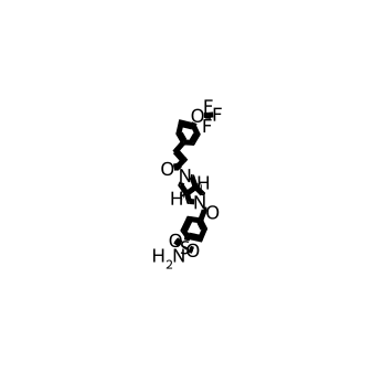 NS(=O)(=O)c1ccc(C(=O)N2C[C@H]3CN(C(=O)C=Cc4ccc(OC(F)(F)F)cc4)C[C@@H]3C2)cc1